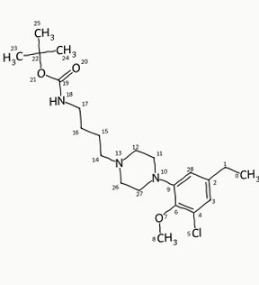 CCc1cc(Cl)c(OC)c(N2CCN(CCCCNC(=O)OC(C)(C)C)CC2)c1